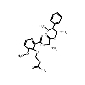 COc1ccnc(C(=O)N[C@@H](C)C(=O)O[C@@H](C)[C@@H](OC)c2ccccc2)c1OCOC(C)=O